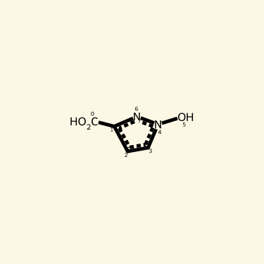 O=C(O)c1ccn(O)n1